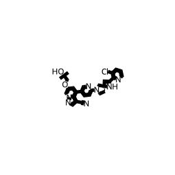 CC(C)(O)COc1cc(-c2ccc(N3CC[C@@]4(C=C(c5ncccc5Cl)N4)C3)nc2)c2c(C#N)cnn2c1